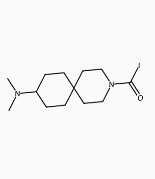 CN(C)C1CCC2(CC1)CCN(C(=O)I)CC2